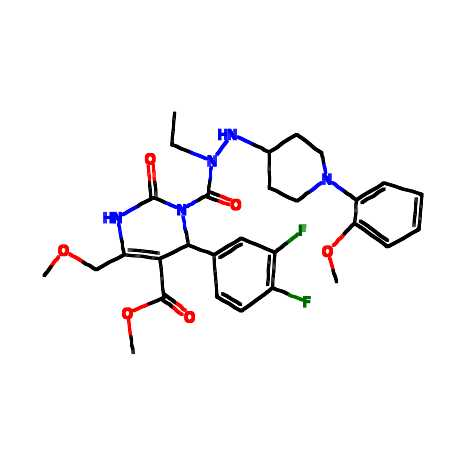 CCN(NC1CCN(c2ccccc2OC)CC1)C(=O)N1C(=O)NC(COC)=C(C(=O)OC)C1c1ccc(F)c(F)c1